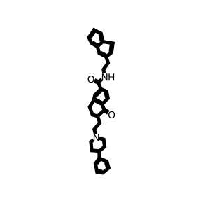 O=C(NCCc1ccc2ccccc2c1)c1ccc2c(c1)CCC(CCN1CCC(c3ccccc3)CC1)C2=O